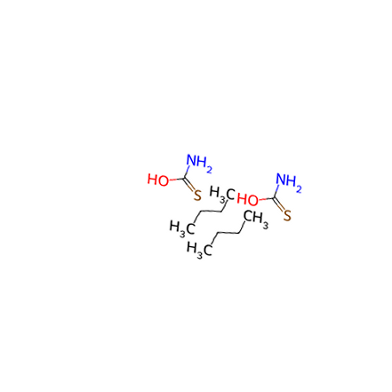 CCCC.CCCC.NC(O)=S.NC(O)=S